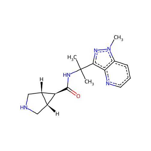 Cn1nc(C(C)(C)NC(=O)[C@H]2[C@@H]3CNC[C@@H]32)c2ncccc21